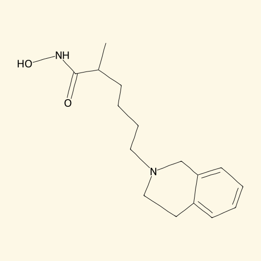 CC(CCCCN1CCc2ccccc2C1)C(=O)NO